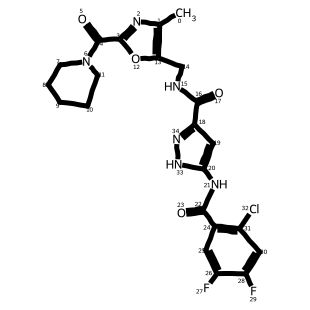 Cc1nc(C(=O)N2CCCCC2)oc1CNC(=O)c1cc(NC(=O)c2cc(F)c(F)cc2Cl)[nH]n1